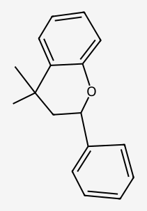 CC1(C)CC(c2ccccc2)Oc2ccccc21